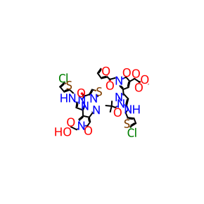 COC(=O)C(=O)c1cc(-c2cc(NCc3ccc(Cl)s3)n(C(=O)C(C)(C)C)n2)cn(CC(=O)c2ccco2)c1=O.N#Cc1cc(=O)n(CC(=O)O)cc1-c1cc(NCc2ccc(Cl)s2)n(C(=O)c2cscn2)n1